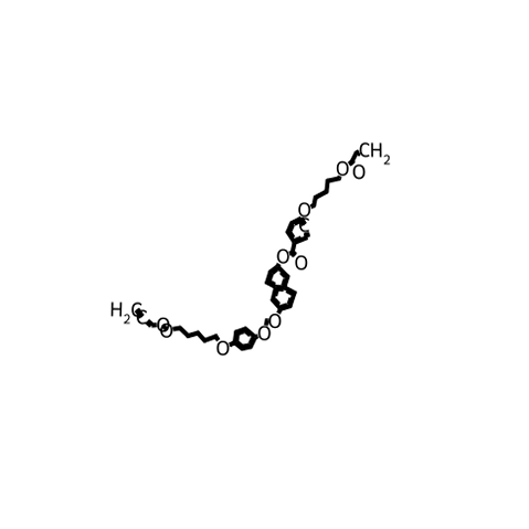 C=C=COOCCCCCOc1ccc(OCOc2ccc3cc(OC(=O)c4ccc(OCCCCCOC(=O)C=C)cc4)ccc3c2)cc1